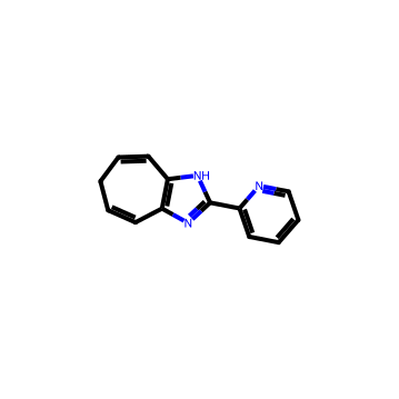 C1=Cc2nc(-c3ccccn3)[nH]c2C=CC1